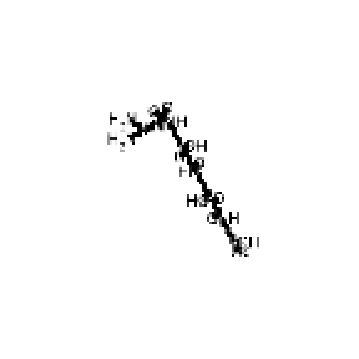 CC(=O)N(O)CCCCCNC(=O)CCC(=O)N(O)CCCCCNC(=O)CCC(=O)N(O)CCCCCNc1c(NCCN(CCN)CCN)c(=O)c1=O